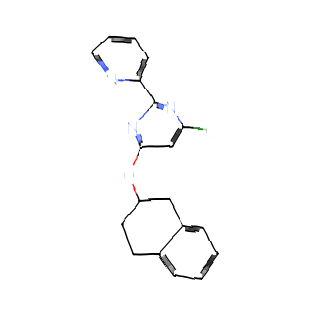 Clc1cc(OC2CCc3ccccc3C2)nc(-c2ccccn2)n1